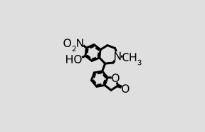 CN1CCc2cc([N+](=O)[O-])c(O)cc2C(c2cccc3c2OC(=O)C3)C1